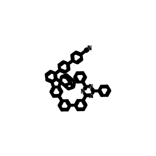 N#Cc1ccc(-c2ccc(-c3cccc4c3C3(c5cc(-c6cccc(-c7cccc(-c8nc(-c9ccccc9)nc(-c9ccccc9)n8)c7)c6)ccc5-4)C4CC5CC(C4)CC3C5)cc2)cc1